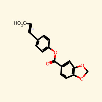 O=C(O)/C=C/c1ccc(OC(=O)c2ccc3c(c2)OCO3)cc1